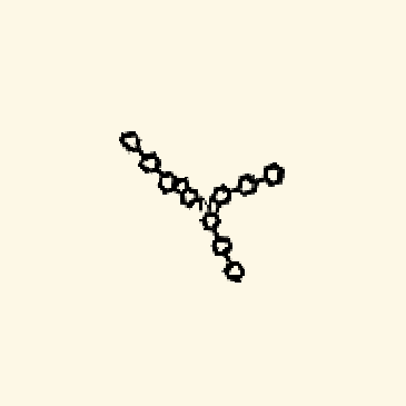 c1ccc(-c2ccc(-c3ccc4c(c3)Cc3cc(-n5c6ccc(-c7ccc(-c8ccccc8)cc7)cc6c6cc(-c7ccc(-c8ccccc8)cc7)ccc65)ccc3-4)cc2)cc1